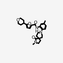 Cc1ccc(N2CCC3(CCN(C)C3=O)CC2)c(NC(=O)c2ccc(C3CCOCC3)o2)c1